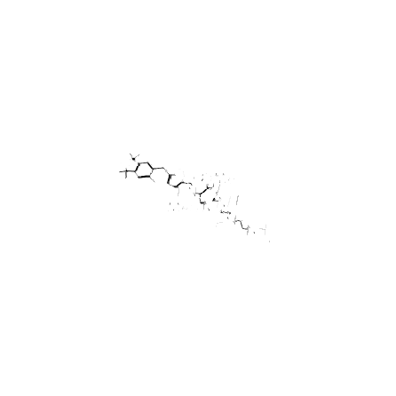 COc1nc(NCCNCCN)nc(OC)c1NC(=O)c1ccc(Cc2cc3c(cc2C)C(C)(C)OC3(C)C)o1